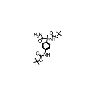 CC(C)(C)OC(=O)Nc1ccc([C@@](C)(NC(=O)OC(C)(C)C)C(N)=O)cc1